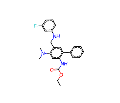 CCOC(=O)Nc1cc(N(C)C)c(CNc2cccc(F)c2)cc1-c1ccccc1